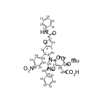 C[C@H]([C@H](Cc1ccc(C(=O)Nc2ccccc2)o1)c1ccc([N+](=O)[O-])cc1)N(C/C=C/c1ccccc1)C(=O)C(O)=C(CC(=O)O)C(=O)OC(C)(C)C